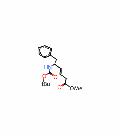 COC(=O)CC=C[C@H](Cc1ccccc1)NC(=O)OC(C)(C)C